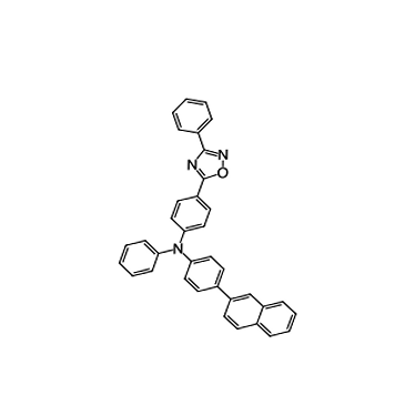 c1ccc(-c2noc(-c3ccc(N(c4ccccc4)c4ccc(-c5ccc6ccccc6c5)cc4)cc3)n2)cc1